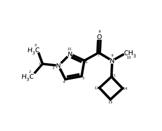 CC(C)n1ccc(C(=O)N(C)C2CCC2)n1